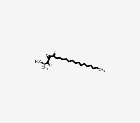 CCCCCCCCCCCCCCCC(=O)C1OC1C(=O)N(C)C